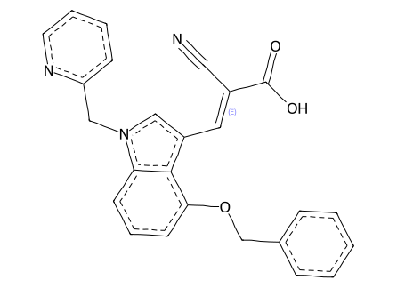 N#C/C(=C\c1cn(Cc2ccccn2)c2cccc(OCc3ccccc3)c12)C(=O)O